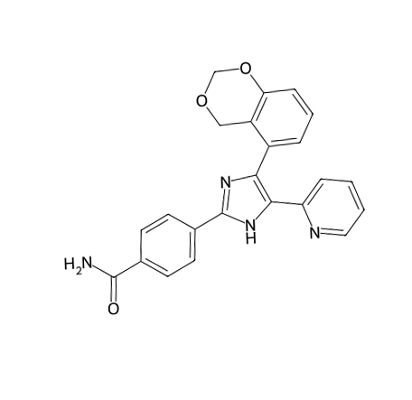 NC(=O)c1ccc(-c2nc(-c3cccc4c3COCO4)c(-c3ccccn3)[nH]2)cc1